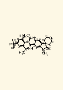 Cc1nc(NC(C)c2cc(N)cc(C(F)(F)F)c2)c2cc3c(cc2n1)C1(CCOCC1)C(=O)N3C